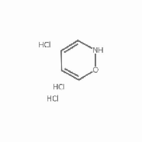 C1=CNOC=C1.Cl.Cl.Cl